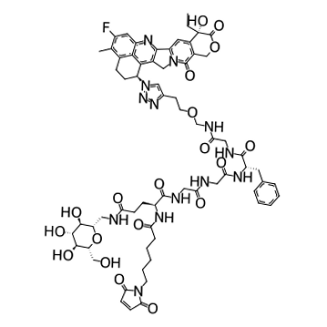 CC[C@@]1(O)C(=O)OCc2c1cc1n(c2=O)Cc2c-1nc1cc(F)c(C)c3c1c2[C@@H](n1cc(CCOCNC(=O)CNC(=O)[C@H](Cc2ccccc2)NC(=O)CNC(=O)CNC(=O)[C@H](CCC(=O)NC[C@@H]2O[C@H](CO)[C@@H](O)[C@H](O)[C@H]2O)NC(=O)CCCCCN2C(=O)C=CC2=O)nn1)CC3